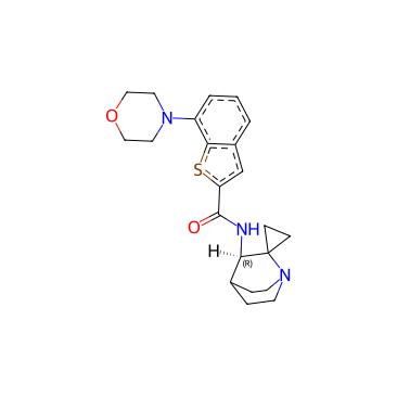 O=C(N[C@@H]1C2CCN(CC2)C12CC2)c1cc2cccc(N3CCOCC3)c2s1